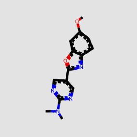 COc1ccc2nc(-c3cnc(N(C)C)nc3)oc2c1